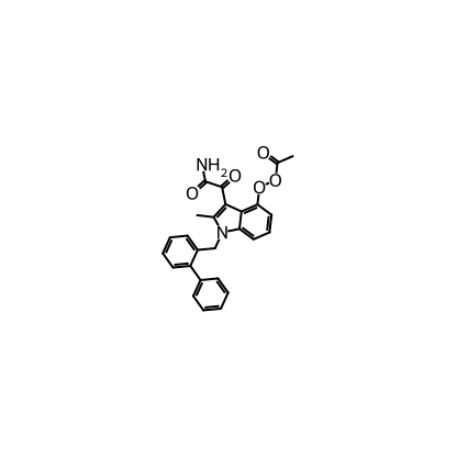 CC(=O)OOc1cccc2c1c(C(=O)C(N)=O)c(C)n2Cc1ccccc1-c1ccccc1